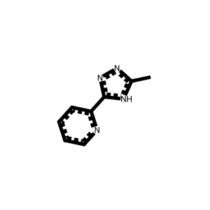 Cc1nnc(-c2ccccn2)[nH]1